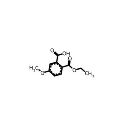 CCOC(=O)c1ccc(OC)cc1C(=O)O